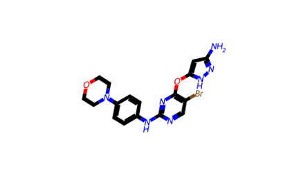 Nc1cc(Oc2nc(Nc3ccc(N4CCOCC4)cc3)ncc2Br)[nH]n1